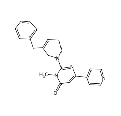 Cn1c(N2CCC=C(Cc3ccccc3)C2)nc(-c2ccncc2)cc1=O